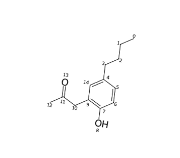 CCCCc1ccc(O)c(CC(C)=O)c1